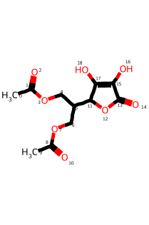 CC(=O)OCC(COC(C)=O)C1OC(=O)C(O)=C1O